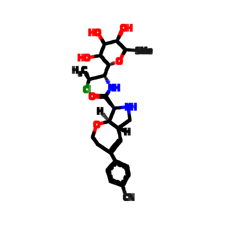 CSC1O[C@H]([C@H](NC(=O)[C@H]2NC[C@@H]3C=C(c4ccc(C#N)cc4)CCO[C@@H]23)[C@H](C)Cl)C(O)C(O)[C@H]1O